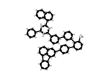 N#Cc1cccc(-c2ccc(-c3cc4c5c(cccc5c3)-c3ccccc3-4)cc2)c1-c1cccc(-c2cccc(-c3nc(-c4ccccc4)nc(-c4cccc5ccccc45)n3)c2)c1